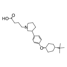 CC(C)(C)[C@H]1CC[C@@H](Oc2ccc(C3CCCN(CCCC(=O)O)C3)cc2)CC1